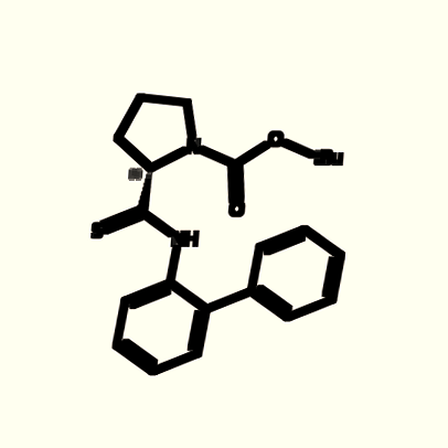 CC(C)(C)OC(=O)N1CCC[C@H]1C(=S)Nc1ccccc1-c1ccccc1